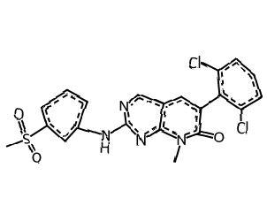 Cn1c(=O)c(-c2c(Cl)cccc2Cl)cc2cnc(Nc3cccc(S(C)(=O)=O)c3)nc21